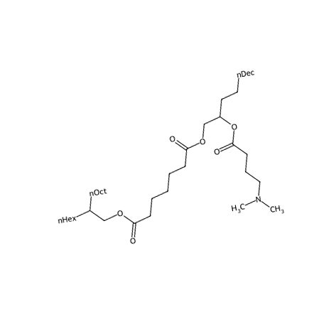 CCCC[CH]CCCCCCCC(COC(=O)CCCCCC(=O)OCC(CCCCCC)CCCCCCCC)OC(=O)CCCN(C)C